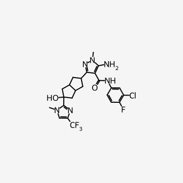 Cn1cc(C(F)(F)F)nc1C1(O)CC2CC(c3nn(C)c(N)c3C(=O)Nc3ccc(F)c(Cl)c3)CC2C1